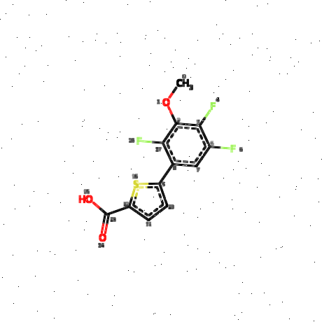 COc1c(F)c(F)cc(-c2ccc(C(=O)O)s2)c1F